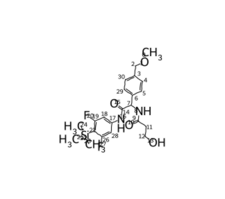 COCc1ccc(C(NC(=O)CCO)C(=O)Nc2cc(F)c([Si](C)(C)C)c(F)c2)cc1